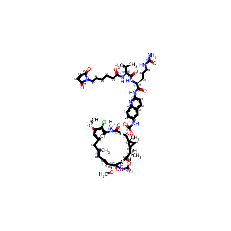 COc1cc2cc(c1Cl)N(C)C(=O)C[C@H](OC(=O)Nc1ccc3nc(NC(=O)[C@H](CCCNC(N)=O)NC(=O)[C@@H](NC(=O)CCCCCN4C(=O)C=CC4=O)C(C)C)ccc3c1)[C@]1(C)C[C@H]1[C@H](C)[C@@H]1C[C@@](O)(NC(=O)O1)[C@H](OC)/C=C/C=C(\C)C2